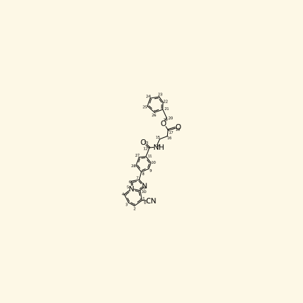 N#Cc1cccn2cc(-c3ccc(C(=O)NCCC(=O)OCc4ccccc4)cc3)nc12